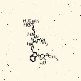 CO[C@@H]1C[C@H](n2cc(C=NNc3nc(NN)nc(NCCC[Si](C)(O)O)n3)c3ccccc32)O[C@@H]1CO